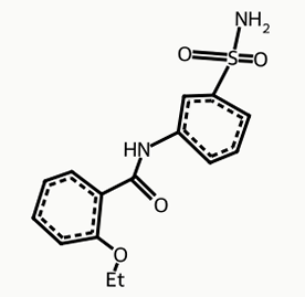 CCOc1ccccc1C(=O)Nc1cccc(S(N)(=O)=O)c1